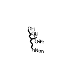 CCCCCCCCCCCCC(CC(O)CO)C(=O)OC(C)C